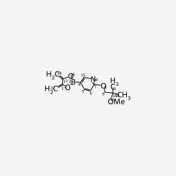 C=C1OB(c2ccc(OCC(C)(C)OC)nc2)OC1=C